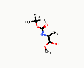 COC(O)C(C)NC(=O)OC(C)(C)C